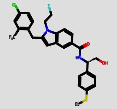 CCSc1ccc([C@@H](CO)NC(=O)c2ccc3c(c2)cc(Cc2ccc(Cl)cc2C(F)(F)F)n3CCF)cc1